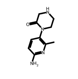 Cc1nc(N)ccc1N1CCNCC1=O